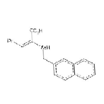 CC(C)C=C([AsH]Cc1ccc2ccccc2c1)C(=O)O